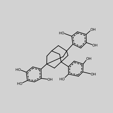 Oc1cc(O)c(C23CC4CC(c5cc(O)c(O)cc5O)(C2)CC(c2cc(O)c(O)cc2O)(C4)C3)cc1O